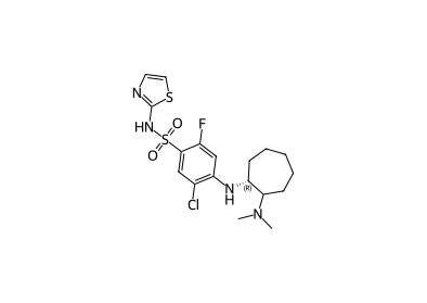 CN(C)C1CCCCC[C@H]1Nc1cc(F)c(S(=O)(=O)Nc2nccs2)cc1Cl